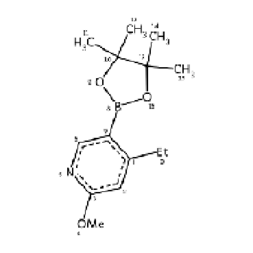 CCc1cc(OC)ncc1B1OC(C)(C)C(C)(C)O1